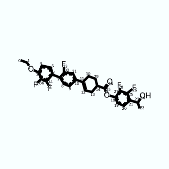 CCOc1ccc(-c2ccc(C3=CCC(C(=O)Oc4ccc(C(C)O)c(F)c4F)CC3)cc2F)c(F)c1F